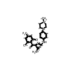 CN1CCN(c2ccc(Nc3nc(N)c(C(=O)c4c(Cl)cc(C(F)(F)F)cc4Cl)s3)cc2)CC1